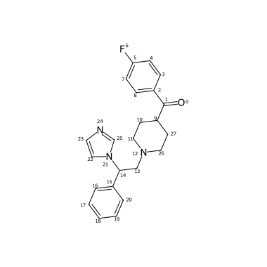 O=C(c1ccc(F)cc1)C1CCN(CC(c2ccccc2)n2ccnc2)CC1